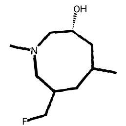 CC1CC(CF)CN(C)C[C@H](O)C1